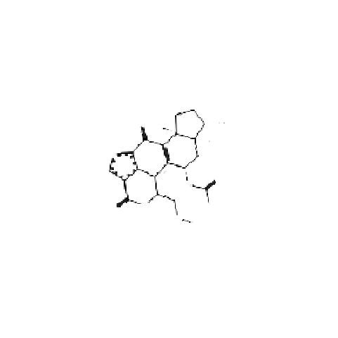 COCC1OC(=O)c2coc3c2[C@@]1(C)C1=C(C3=O)[C@@H]2CC[C@H](O)[C@@]2(C)C[C@H]1OC(C)=O